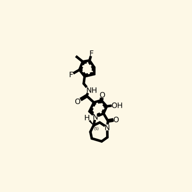 Cc1c(F)ccc(CNC(=O)c2cn3c(c(O)c2=O)C(=O)N2CCCC[C@H]3C2)c1F